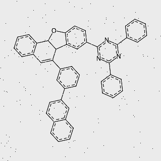 C1=C(c2cccc(-c3ccc4ccccc4c3)c2)C2c3cc(-c4nc(-c5ccccc5)nc(-c5ccccc5)n4)ccc3OC2c2ccccc21